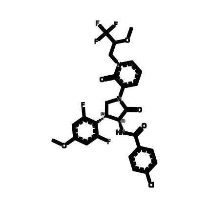 COc1cc(F)c([C@@H]2CN(c3cccn(CC(OC)C(F)(F)F)c3=O)C(=O)[C@H]2NC(=O)c2ccc(Cl)cc2)c(F)c1